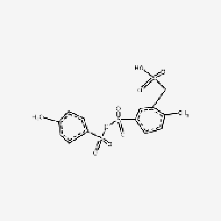 Cc1ccc(S(=O)(=O)OS(=O)(=O)c2ccc(C)c(CS(=O)(=O)O)c2)cc1